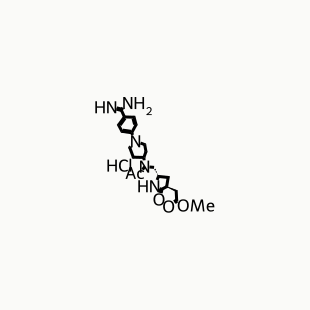 COC(=O)C[C@@H]1C[C@@H](CN(C(C)=O)C2CCN(c3ccc(C(=N)N)cc3)CC2)NC1=O.Cl